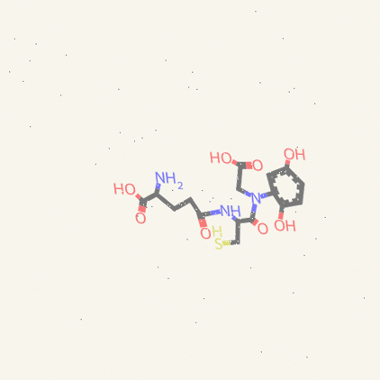 NC(CCC(=O)NC(CS)C(=O)N(CC(=O)O)c1cc(O)ccc1O)C(=O)O